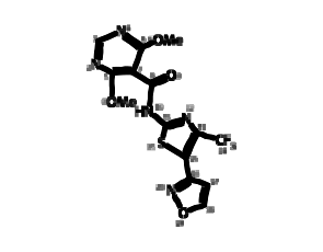 COc1ncnc(OC)c1C(=O)Nc1nc(C(F)(F)F)c(-c2ccon2)s1